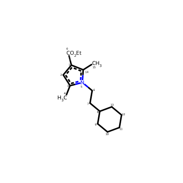 CCOC(=O)c1cc(C)n(CCC2CCCCC2)c1C